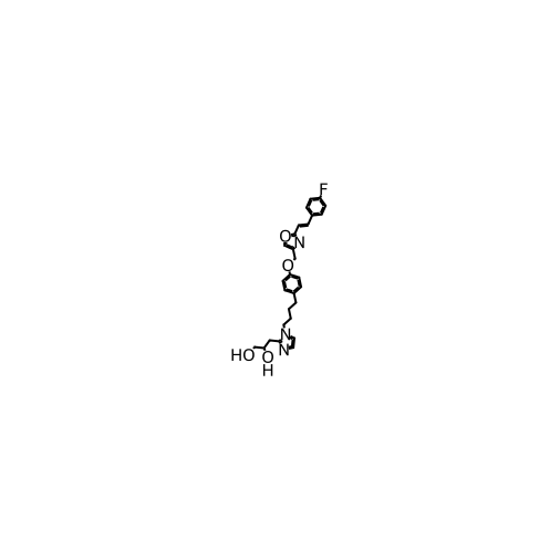 OCC(O)Cc1nccn1CCCCc1ccc(OCc2coc(C=Cc3ccc(F)cc3)n2)cc1